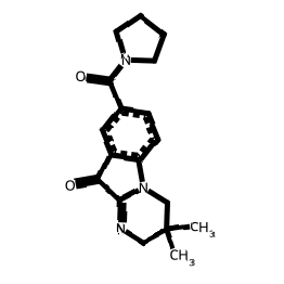 CC1(C)CN=C2C(=O)c3cc(C(=O)N4CCCC4)ccc3N2C1